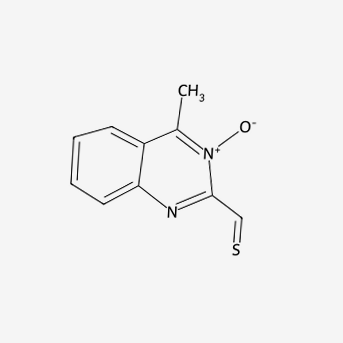 Cc1c2ccccc2nc(C=S)[n+]1[O-]